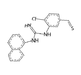 N=C(Nc1cc(C=S)ccc1Cl)Nc1cccc2ccccc12